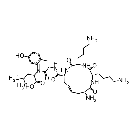 CC(C)C[C@@H](NC(=O)[C@H](Cc1ccc(O)cc1)NC(=O)[C@@H]1C/C=C/C[C@H](N)C(=O)N[C@@H](CCCCN)C(=O)N[C@@H](CCCCN)C(=O)N1)C(=O)O